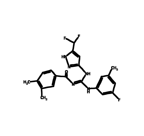 Cc1cc(F)cc(N/C(=N/C(=O)c2ccc(C)c(C)c2)Nc2cc(C(F)F)[nH]n2)c1